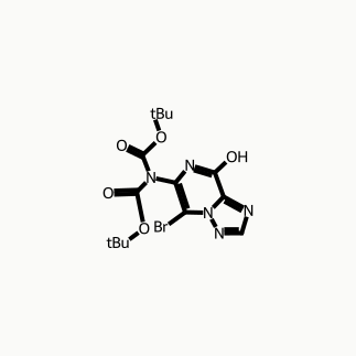 CC(C)(C)OC(=O)N(C(=O)OC(C)(C)C)c1nc(O)c2ncnn2c1Br